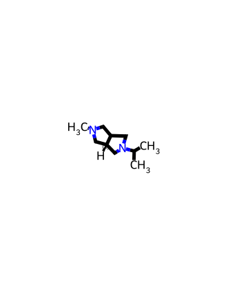 CC(C)N1CC2CN(C)C[C@H]2C1